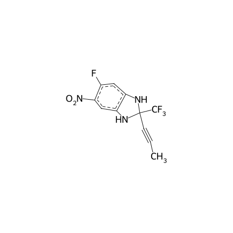 CC#CC1(C(F)(F)F)Nc2cc(F)c([N+](=O)[O-])cc2N1